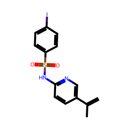 C=C(C)c1ccc(NS(=O)(=O)c2ccc(I)cc2)nc1